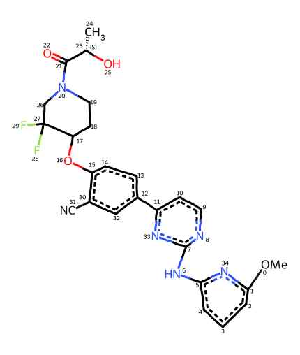 COc1cccc(Nc2nccc(-c3ccc(OC4CCN(C(=O)[C@H](C)O)CC4(F)F)c(C#N)c3)n2)n1